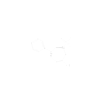 CS(=O)(=O)N1CC(c2ccccc2)=CCC(O)C1